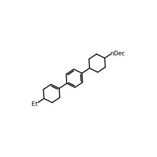 CCCCCCCCCCC1CCC(c2ccc(C3=CCC(CC)CC3)cc2)CC1